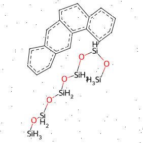 [SiH3]O[SiH2]O[SiH2]O[SiH2]O[SiH](O[SiH3])c1cccc2ccc3cc4ccccc4cc3c12